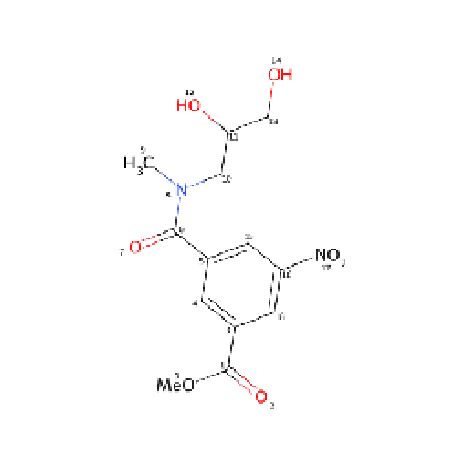 COC(=O)c1cc(C(=O)N(C)CC(O)CO)cc([N+](=O)[O-])c1